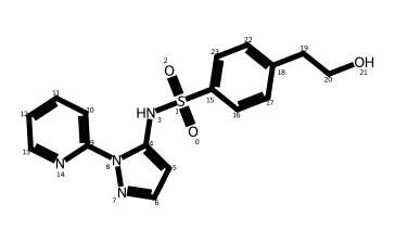 O=S(=O)(Nc1ccnn1-c1ccccn1)c1ccc(CCO)cc1